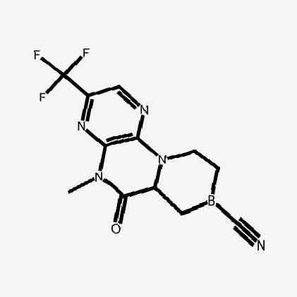 CN1C(=O)C2CB(C#N)CCN2c2ncc(C(F)(F)F)nc21